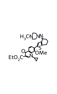 CCOC(=O)c1cn(C2CC2)c2c(OC)c(-c3cc4c(s3)CCC/C4=N/N3CCN(C)CC3)ccc2c1=O